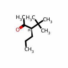 CCC[C@@H](C(C)=O)C(C)(C)C